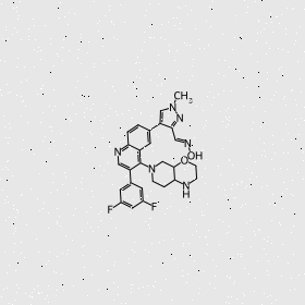 Cn1cc(-c2ccc3ncc(-c4cc(F)cc(F)c4)c(N4CCC5NCCOC5C4)c3c2)c(C=NO)n1